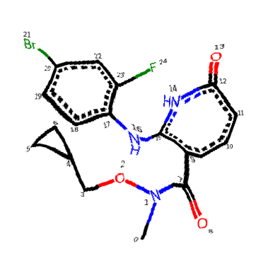 CN(OCC1CC1)C(=O)c1ccc(=O)[nH]c1Nc1ccc(Br)cc1F